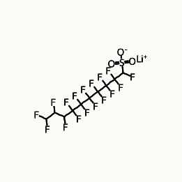 O=S(=O)([O-])C(F)C(F)(F)C(F)(F)C(F)(F)C(F)(F)C(F)(F)C(F)(F)C(F)C(F)C(F)F.[Li+]